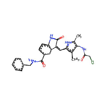 Cc1[nH]c(/C=C2\C(=O)Nc3ccc(C(=O)NCc4ccccc4)cc32)c(C)c1NC(=O)CCl